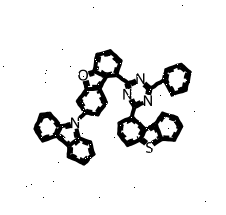 c1ccc(-c2nc(-c3cccc4oc5cc(-n6c7ccccc7c7ccccc76)ccc5c34)nc(-c3cccc4sc5ccccc5c34)n2)cc1